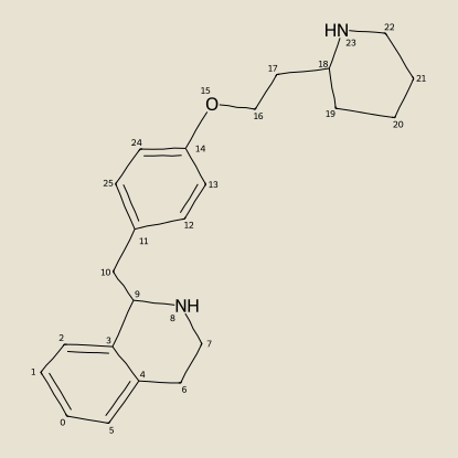 c1ccc2c(c1)CCNC2Cc1ccc(OCCC2CCCCN2)cc1